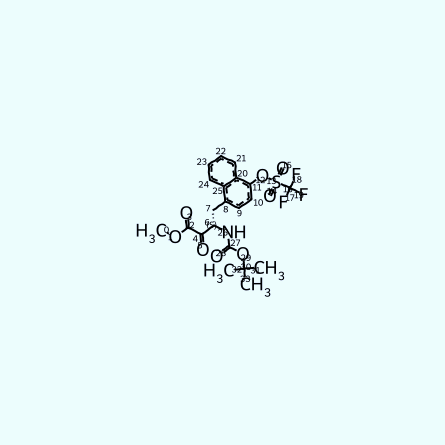 COC(=O)C(=O)[C@H](Cc1ccc(OS(=O)(=O)C(F)(F)F)c2ccccc12)NC(=O)OC(C)(C)C